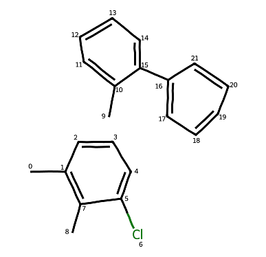 Cc1cccc(Cl)c1C.Cc1ccccc1-c1ccccc1